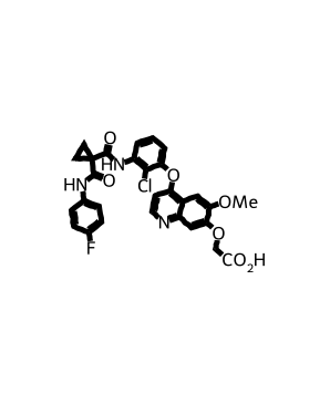 COc1cc2c(Oc3cccc(NC(=O)C4(C(=O)Nc5ccc(F)cc5)CC4)c3Cl)ccnc2cc1OCC(=O)O